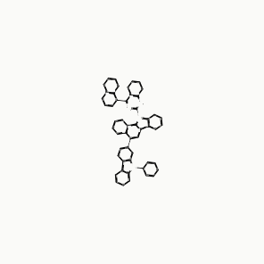 c1ccc(-n2c3ccccc3c3ccc(-c4cc5c6ccccc6n(-c6nc(-c7cccc8ccccc78)c7ccccc7n6)c5c5ccccc45)cc32)cc1